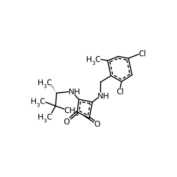 Cc1cc(Cl)cc(Cl)c1CNc1c(N[C@@H](C)C(C)(C)C)c(=O)c1=O